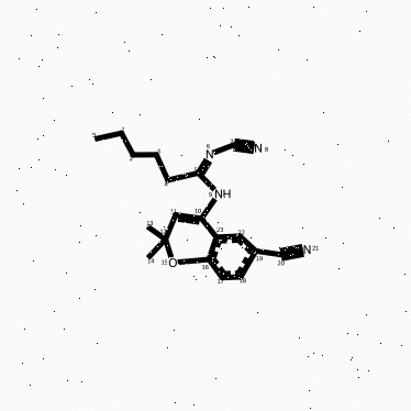 CCCCC/C(=N/C#N)NC1=CC(C)(C)Oc2ccc(C#N)cc21